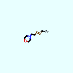 CC(C)CSSCCN1CCOCC1